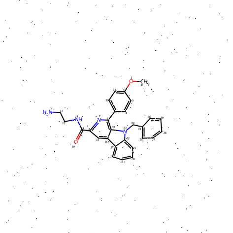 COc1ccc(-c2nc(C(=O)NCCN)cc3c4ccccc4n(Cc4ccccc4)c23)cc1